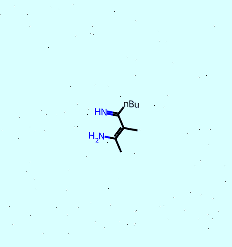 CCCCC(=N)/C(C)=C(/C)N